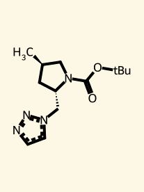 C[C@@H]1C[C@@H](Cn2ccnn2)N(C(=O)OC(C)(C)C)C1